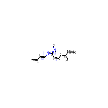 C=C/C=C/NC(/C=C\CC(C)NC)=N\C